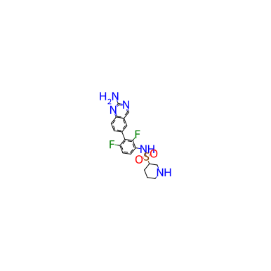 Nc1ncc2cc(-c3c(F)ccc(NS(=O)(=O)C4CCCNC4)c3F)ccc2n1